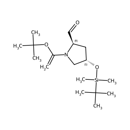 C=C(OC(C)(C)C)N1C[C@@H](O[Si](C)(C)C(C)(C)C)C[C@@H]1C=O